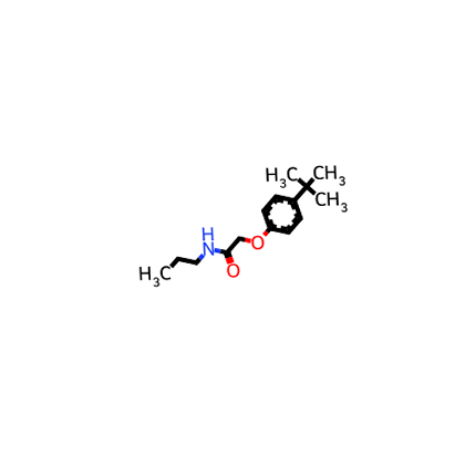 CCCNC(=O)COc1ccc(C(C)(C)C)cc1